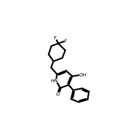 O=c1[nH]c(CC2CCC(F)(F)CC2)cc(O)c1-c1ccccc1